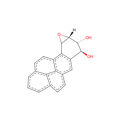 O[C@@H]1[C@@H](O)c2cc3ccc4cccc5ccc(c2C2O[C@@H]21)c3c45